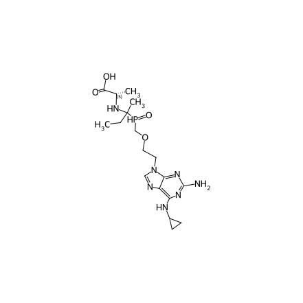 CCC(C)(N[C@@H](C)C(=O)O)[PH](=O)COCCn1cnc2c(NC3CC3)nc(N)nc21